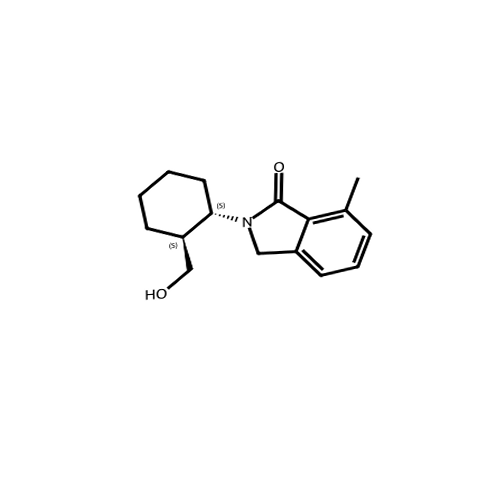 Cc1cccc2c1C(=O)N([C@H]1CCCC[C@@H]1CO)C2